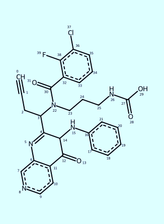 C#CCC(C1=Nc2cnccc2C(=O)C1Nc1ccccc1)N(CCCNC(=O)O)C(=O)c1cccc(Cl)c1F